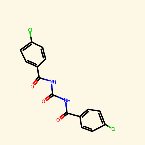 O=C(NC(=O)c1ccc(Cl)cc1)NC(=O)c1ccc(Cl)cc1